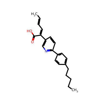 CC=CC=C(C(=O)O)c1ccc(-c2ccc(CCCCC)cc2)nc1